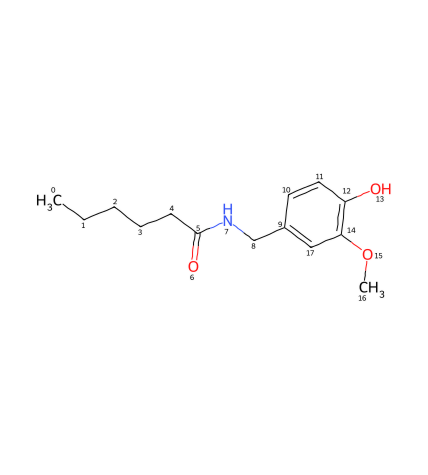 CCCCCC(=O)NCc1ccc(O)c(OC)c1